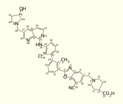 Cc1c(-c2nc3cc(CN4CCC(C(=O)O)CC4)cc(C#N)c3o2)cccc1-c1cccc(Nc2nccc3cc(CN4CCC(O)C4)cnc23)c1Cl